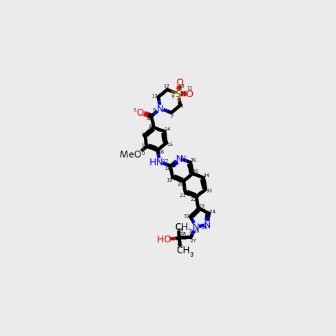 COc1cc(C(=O)N2CCS(=O)(=O)CC2)ccc1Nc1cc2cc(-c3cnn(CC(C)(C)O)c3)ccc2cn1